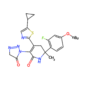 CCCCOc1ccc(C2(C)CC(c3ncc(C4CC4)s3)=C(N3N=NCC3=O)C(=O)N2)c(F)c1